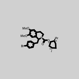 COc1cc2c(cc1OC)C(Cc1ccc(Br)cc1)N(C(=O)O[C@H]1C[C@@H](C)CC[C@@H]1C(C)C)CC2